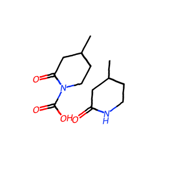 CC1CCN(C(=O)O)C(=O)C1.CC1CCNC(=O)C1